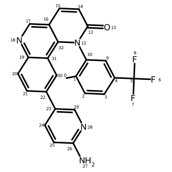 Cc1ccc(C(F)(F)F)cc1-n1c(=O)ccc2cnc3ccc(-c4ccc(N)nc4)cc3c21